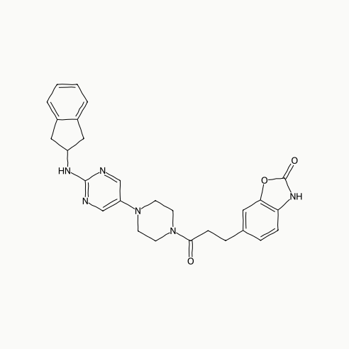 O=C(CCc1ccc2[nH]c(=O)oc2c1)N1CCN(c2cnc(NC3Cc4ccccc4C3)nc2)CC1